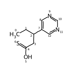 CCC(CC(O)=S)c1cncnc1